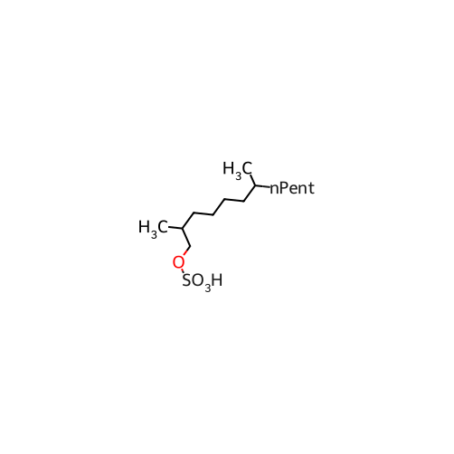 CCCCCC(C)CCCCC(C)COS(=O)(=O)O